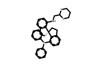 c1ccc(P(c2ccccc2)c2cccc3c2[C@]2(CCc4cccc(NCC5SCCCS5)c42)CC3)cc1